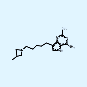 CCCCc1nc(N)c2[nH]cc(CCCCCN3CC(C)C3)c2n1